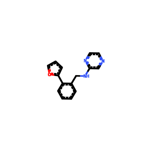 c1coc(-c2ccccc2CNc2cnccn2)c1